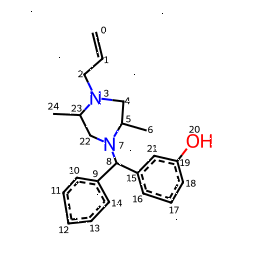 C=CCN1CC(C)N(C(c2ccccc2)c2cccc(O)c2)CC1C